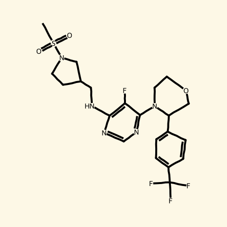 CS(=O)(=O)N1CCC(CNc2ncnc(N3CCOCC3c3ccc(C(F)(F)F)cc3)c2F)C1